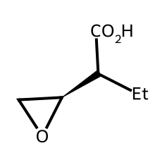 CCC(C(=O)O)[C@@H]1CO1